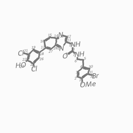 COc1ccc(CCNC(=O)Nc2cnc3ccc(-c4cc(Cl)c(O)c(Cl)c4)cc3n2)cc1Br